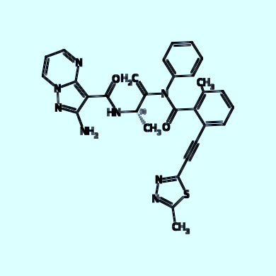 C=C([C@H](C)NC(=O)c1c(N)nn2cccnc12)N(C(=O)c1c(C)cccc1C#Cc1nnc(C)s1)c1ccccc1